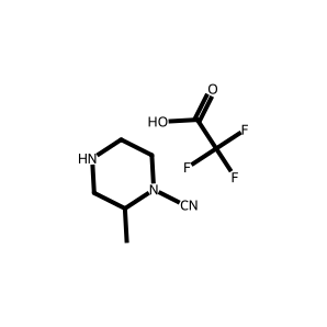 CC1CNCCN1C#N.O=C(O)C(F)(F)F